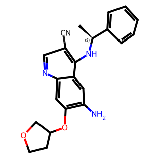 C[C@H](Nc1c(C#N)cnc2cc(OC3CCOC3)c(N)cc12)c1ccccc1